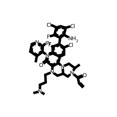 C=CC(=O)N1CC2CN(CCCN(C)C)c3c(c4cc(Cl)c(-c5c(N)c(Cl)cc(Cl)c5F)c(F)c4n(-c4c(C)ccnc4C(C)C)c3=O)N2CC1C